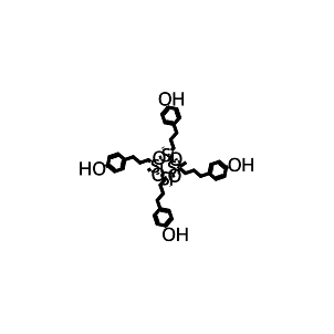 C[Si]1(CCCc2ccc(O)cc2)O[Si](C)(CCCc2ccc(O)cc2)O[Si](C)(CCCc2ccc(O)cc2)O[Si](C)(CCCc2ccc(O)cc2)O1